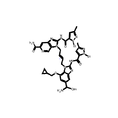 CCn1nc(C)cc1C(=O)Nc1nc2cc(C(N)=O)ncc2n1C/C=C/Cn1c(NC(=O)c2cc(C)nn2CC)nc2cc(C(N)O)cc(OCC3CC3)c21